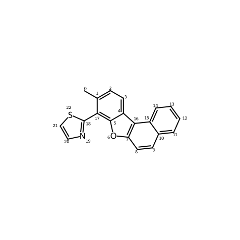 Cc1ccc2c(oc3ccc4ccccc4c32)c1-c1nccs1